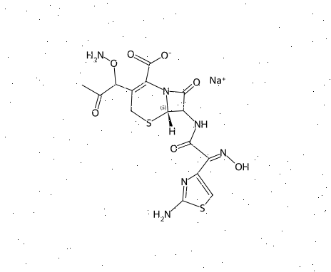 CC(=O)C(ON)C1=C(C(=O)[O-])N2C(=O)C(NC(=O)C(=NO)c3csc(N)n3)[C@@H]2SC1.[Na+]